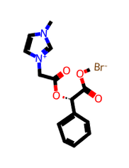 COC(=O)[C@@H](OC(=O)C[n+]1ccn(C)c1)c1ccccc1.[Br-]